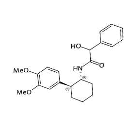 COc1ccc([C@@H]2CCCC[C@H]2NC(=O)C(O)c2ccccc2)cc1OC